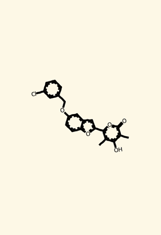 Cc1c(-c2cc3cc(OCc4cccc(Cl)c4)ccc3o2)oc(=O)c(C)c1O